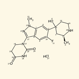 C[C@H]1CC(O)(c2cc3c(cc2F)c(N2CCC(=O)NC2=O)nn3C)CCN1.Cl